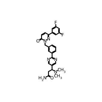 CN(C)C(CC(N)=O)c1cnc(-c2cccc(Cn3nc(-c4cc(F)cc(F)c4)ccc3=O)c2)nc1